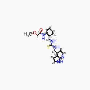 COCC(=O)Nc1ccccc1CNC(=S)NCc1ccnc2[nH]ccc12